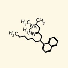 CCCCCCC(CC(=N)C[C@H](C)N(C)C)c1cccc2ccccc12